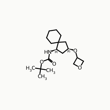 CC(C)(C)OC(=O)N[C@@H]1C[C@H](OC2COC2)CC12CCCCC2